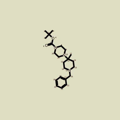 CC(C)(C)OC(=O)N1CCN(C2(C)CCN(Cc3ccccc3)CC2)CC1